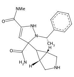 CNC(=O)C1=CC(C(N)=O)(C2[C@H]3CNC[C@@H]23)N([C@@H](C)c2ccccc2)N1